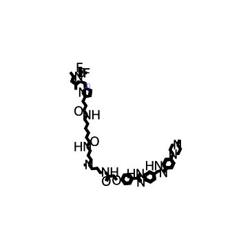 Cc1cc(C)n(B(F)F)c1/C=C1/C=CC(CCC(=O)NCCCCCC(=O)NCCCN(C)CCCNC(=O)COc2ccc(-c3nc4ccc(-c5nc6ccc(N7CCN(C)CC7)cc6[nH]5)cc4[nH]3)cc2)=N1